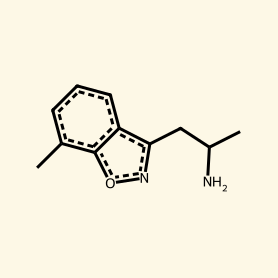 Cc1cccc2c(CC(C)N)noc12